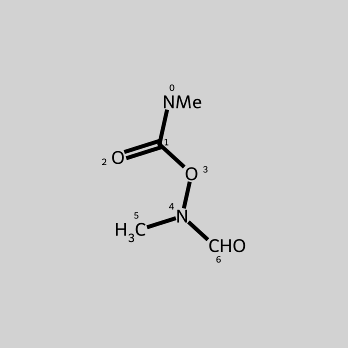 CNC(=O)ON(C)C=O